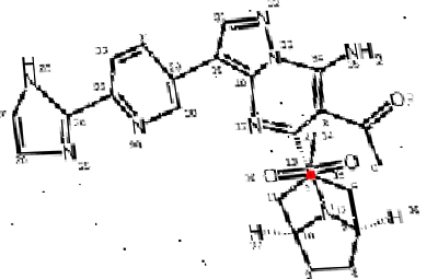 CC(=O)c1c([C@@H]2C[C@H]3CC[C@@H](C2)N3S(C)(=O)=O)nc2c(-c3ccc(-c4ncc[nH]4)nc3)cnn2c1N